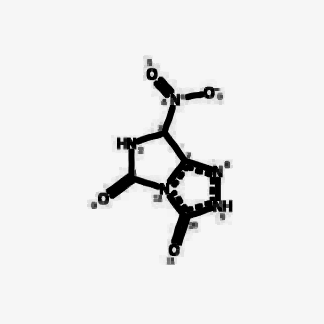 O=C1NC([N+](=O)[O-])c2n[nH]c(=O)n21